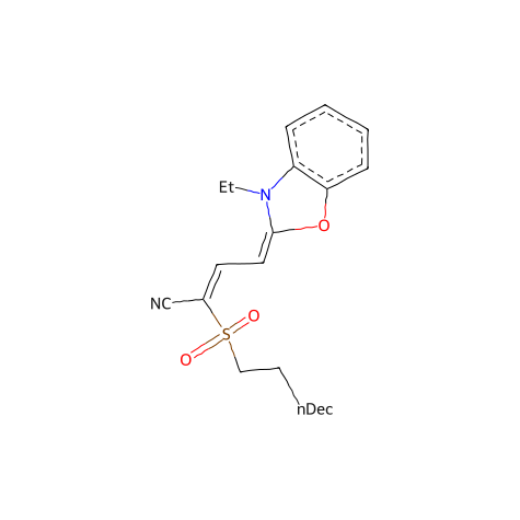 CCCCCCCCCCCCS(=O)(=O)C(C#N)=CC=C1Oc2ccccc2N1CC